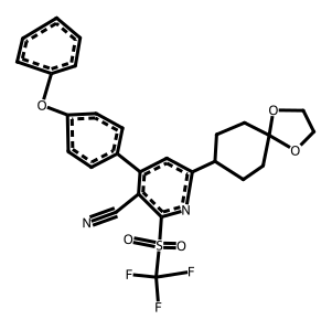 N#Cc1c(-c2ccc(Oc3ccccc3)cc2)cc(C2CCC3(CC2)OCCO3)nc1S(=O)(=O)C(F)(F)F